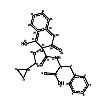 O=C(O)C(Cc1ccccc1)NC(=O)[C@]1(OCC2CC2)C(=O)N=c2ccccc2=C1O